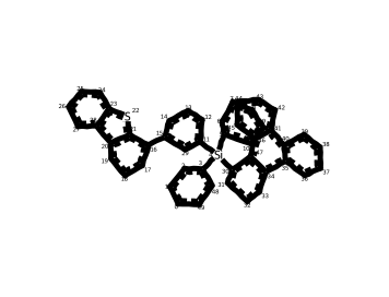 c1ccc([Si](c2ccccc2)(c2cccc(-c3cccc4c3sc3ccccc34)c2)c2cccc3c4ccccc4c4ccccc4c23)cc1